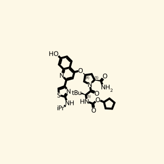 CC(C)Nc1nc(-c2cc(O[C@@H]3C[C@@H](C(N)=O)N(C(=O)[C@@H](NC(=O)OC4CCCC4)C(C)(C)C)C3)c3ccc(O)cc3n2)cs1